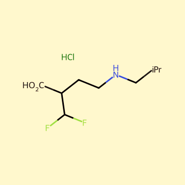 CC(C)CNCCC(C(=O)O)C(F)F.Cl